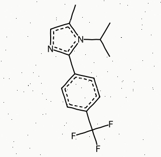 Cc1cnc(-c2ccc(C(F)(F)F)cc2)n1C(C)C